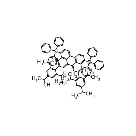 CC(C)c1cc(C(C)C)c(-c2cc3c([Si](c4ccccc4)(c4ccccc4)c4ccccc4)ccc4c5ccc([Si](c6ccccc6)(c6ccccc6)c6ccccc6)c6cc(-c7c(C(C)C)cc(C(C)C)cc7C(C)C)cc(c(c2)c34)c65)c(C(C)C)c1